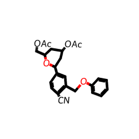 CC(=O)OCC1CC(OC(C)=O)CC(c2ccc(C#N)c(COc3ccccc3)c2)O1